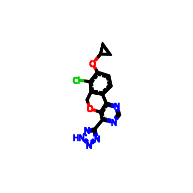 Clc1c(OC2CC2)ccc2c1COc1c(-c3nn[nH]n3)ncnc1-2